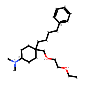 CCOCCOCC1(CCCCc2ccccc2)CCC(N(C)C)CC1